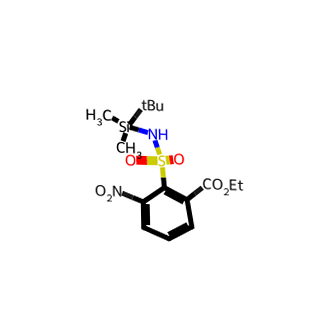 CCOC(=O)c1cccc([N+](=O)[O-])c1S(=O)(=O)N[Si](C)(C)C(C)(C)C